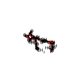 C#C[C@H]1CC(F)(F)CN1C(=O)CNC(=O)c1ccnc2ccc(OCCCC3CCN(C(=O)C(O)CSCCNC(=O)C(CSCCNC(=O)CCCc4ccc(C)cc4)NC(=O)CN4CCN(COC=O)CCN(COC=O)CCN(CC(=O)O)CC4)CC3)cc12